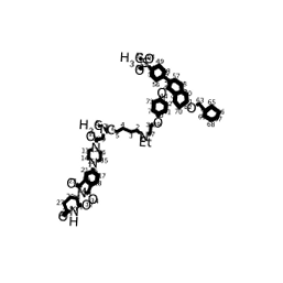 CCN(CCCCCN(C)CC(=O)N1CCN(c2ccc3c(c2)C(=O)N(C2CCC(=O)NC2=O)C3=O)CC1)CCOc1ccc(Oc2c(-c3ccc(S(C)(=O)=O)cc3)ccc3cc(OCc4ccccc4)ccc23)cc1